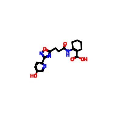 O=C(CCc1nc(-c2ccc(O)cn2)no1)NC1=C(C(=O)O)CCCC1